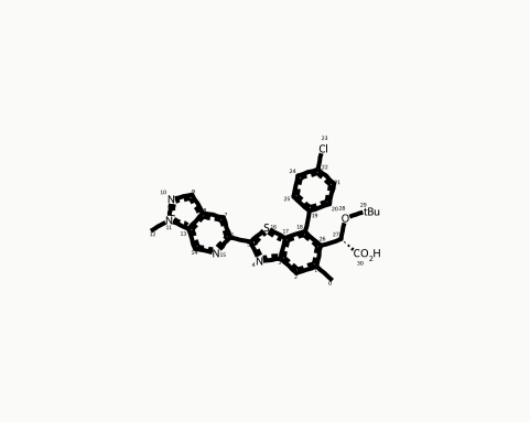 Cc1cc2nc(-c3cc4cnn(C)c4cn3)sc2c(-c2ccc(Cl)cc2)c1[C@H](OC(C)(C)C)C(=O)O